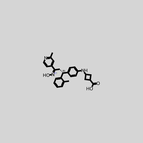 Cc1cc(/C(C[C@H](c2ccc(NC3CC(C(=O)O)C3)cc2)c2ccccc2C)=N\O)ccn1